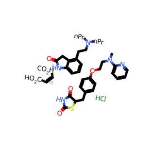 CCCN(CCC)CCc1cccc2c1CC(=O)N2.CN(CCOc1ccc(CC2SC(=O)NC2=O)cc1)c1ccccn1.Cl.O=C(O)/C=C\C(=O)O